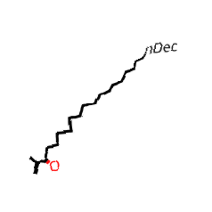 C=C(C)C(=O)CCCCCCCCCCCCCCCCCCCCCCCCCC